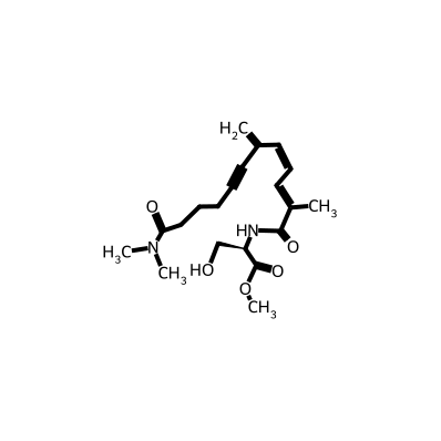 C=C(C#CCCCC(=O)N(C)C)/C=C\C=C(/C)C(=O)N[C@H](CO)C(=O)OC